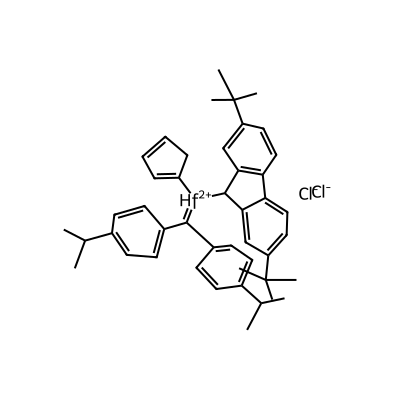 CC(C)c1ccc([C](c2ccc(C(C)C)cc2)=[Hf+2]([C]2=CC=CC2)[CH]2c3cc(C(C)(C)C)ccc3-c3ccc(C(C)(C)C)cc32)cc1.[Cl-].[Cl-]